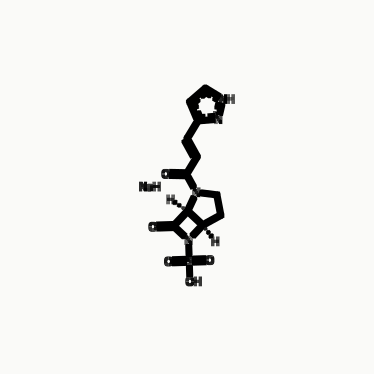 O=C(/C=C/c1cc[nH]n1)N1CC[C@@H]2[C@H]1C(=O)N2S(=O)(=O)O.[NaH]